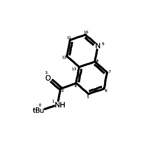 CC(C)(C)NC(=O)c1cccc2ncccc12